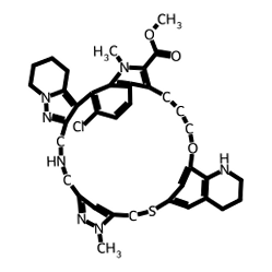 COC(=O)c1c2c3ccc(Cl)c(c3n1C)-c1c(nn3c1CCCC3)CNCc1cc(n(C)n1)CSc1cc3c(c(c1)OCCC2)NCCC3